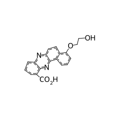 O=C(O)c1cccc2nc3ccc4c(OCCO)cccc4c3nc12